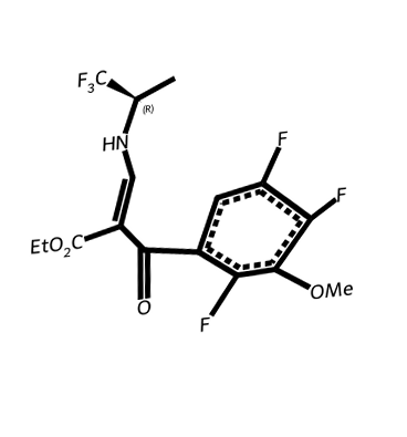 CCOC(=O)C(=CN[C@H](C)C(F)(F)F)C(=O)c1cc(F)c(F)c(OC)c1F